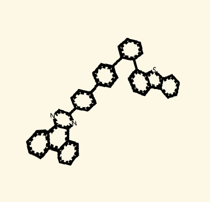 c1ccc(-c2cccc3c2sc2ccccc23)c(-c2ccc(-c3ccc(-c4cnc5c6ccccc6c6ccccc6c5n4)cc3)cc2)c1